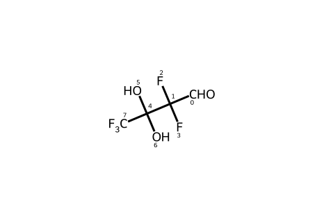 O=CC(F)(F)C(O)(O)C(F)(F)F